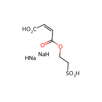 O=C(O)/C=C\C(=O)OCCS(=O)(=O)O.[NaH].[NaH]